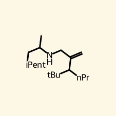 C=C(CNC(C)CC(C)CCC)C(CCC)C(C)(C)C